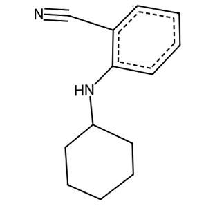 N#Cc1[c]cccc1NC1CCCCC1